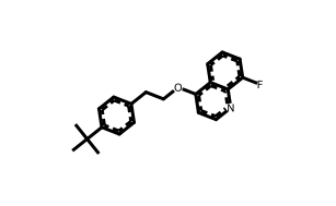 CC(C)(C)c1ccc(CCOc2ccnc3c(F)cccc23)cc1